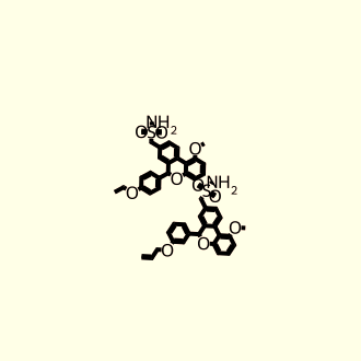 C=CCOc1cccc(C2Oc3cccc(OC)c3-c3ccc(CS(N)(=O)=O)cc32)c1.CCOc1ccc(C2Oc3cccc(OC)c3-c3ccc(CS(N)(=O)=O)cc32)cc1